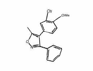 COc1ccc(-c2c(-c3ccccc3)noc2C)cc1C#N